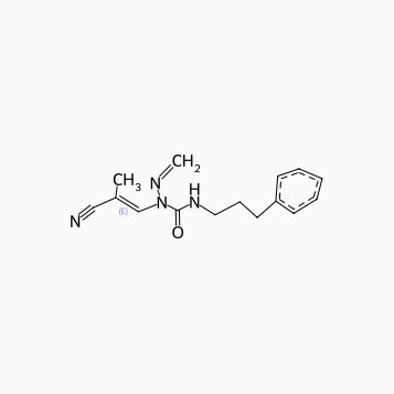 C=NN(/C=C(\C)C#N)C(=O)NCCCc1ccccc1